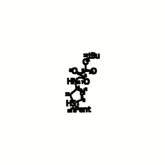 CCCCC[SH]1C=NC(NS(=O)(=O)C(=O)OC(C)(C)C)C1